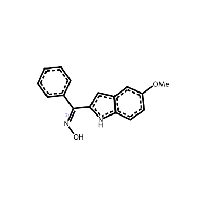 COc1ccc2[nH]c(/C(=N\O)c3ccccc3)cc2c1